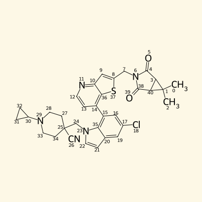 CC1(C)C2C(=O)N(Cc3cc4nccc(-c5cc(Cl)cc6ccn(CC7(C#N)CCN(C8CC8)CC7)c56)c4s3)C(=O)C21